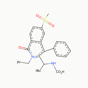 CC(C)Cn1c(C(NC(=O)O)C(C)(C)C)c(-c2ccccc2)c2cc(S(C)(=O)=O)ccc2c1=O